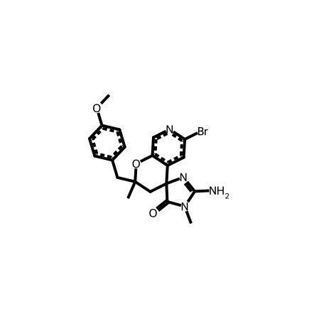 COc1ccc(CC2(C)CC3(N=C(N)N(C)C3=O)c3cc(Br)ncc3O2)cc1